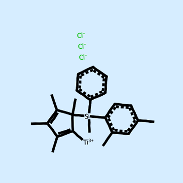 CC1=C(C)C(C)([Si](C)(c2ccccc2)c2ccc(C)cc2C)[C]([Ti+3])=C1C.[Cl-].[Cl-].[Cl-]